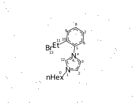 CCCCCCn1cc[n+](-c2ccccc2CC)c1.[Br-]